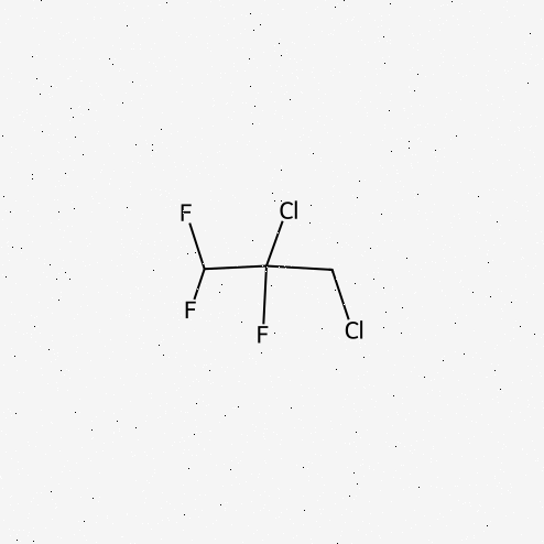 FC(F)C(F)(Cl)CCl